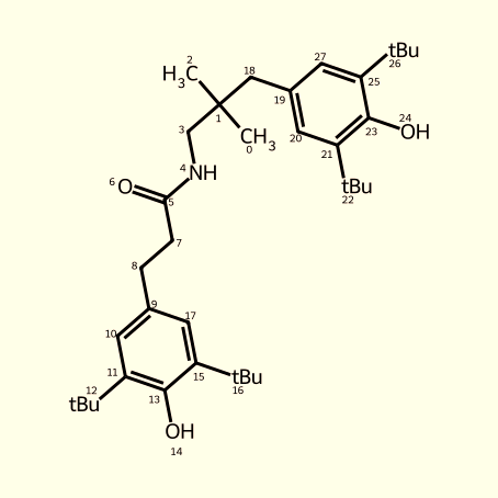 CC(C)(CNC(=O)CCc1cc(C(C)(C)C)c(O)c(C(C)(C)C)c1)Cc1cc(C(C)(C)C)c(O)c(C(C)(C)C)c1